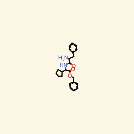 N[C@H](Cc1ccccc1)C(=O)NC(C(=O)OCc1ccccc1)C1CCCC1